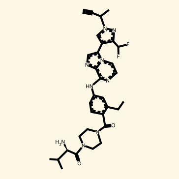 C#CC(C)n1cc(-c2cnc3c(Nc4ccc(C(=O)N5CCN(C(=O)[C@H](N)C(C)C)CC5)c(CC)c4)nccn23)c(C(F)F)n1